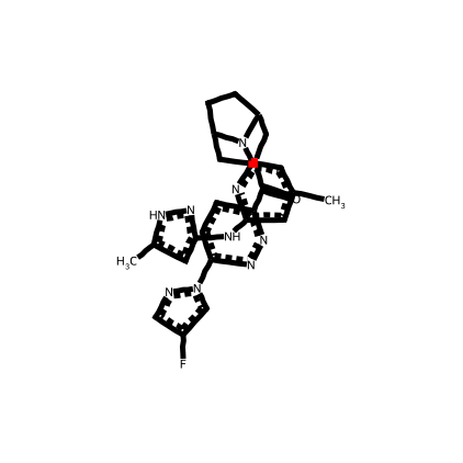 Cc1cc(Nc2cc(C)[nH]n2)nc(N2C3CCC2CN(C(=O)c2ccc(-n4cc(F)cn4)nn2)C3)c1